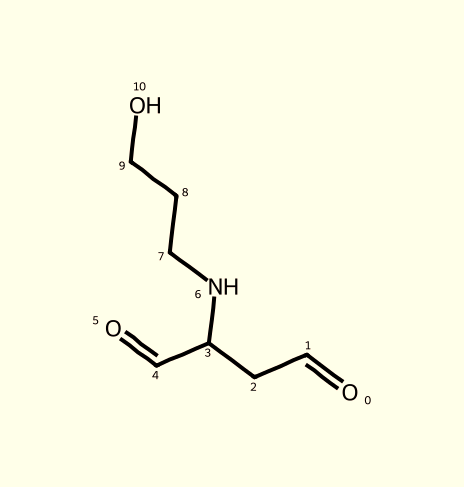 O=CCC(C=O)NCCCO